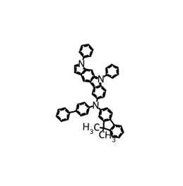 CC1(C)c2ccccc2-c2ccc(N(c3ccc(-c4ccccc4)cc3)c3ccc4c(c3)c3cc5ccn(-c6ccccc6)c5cc3n4-c3ccccc3)cc21